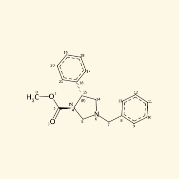 COC(=O)[C@@H]1CN(Cc2ccccc2)C[C@H]1c1ccccc1